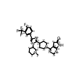 CN1CCCC(n2cc(-c3ccc(F)c(C(F)(F)F)c3)nc2C2CCN(c3ncnc4c3CC(=O)N4)CC2)C1